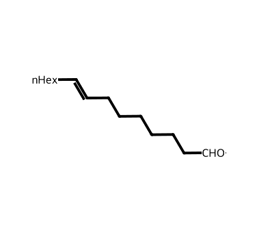 CCCCCCC=CCCCCCC[C]=O